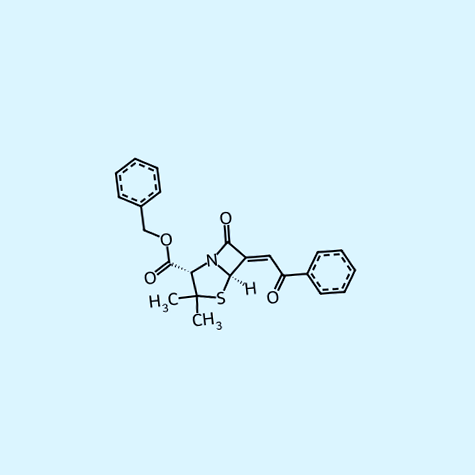 CC1(C)S[C@@H]2/C(=C\C(=O)c3ccccc3)C(=O)N2[C@H]1C(=O)OCc1ccccc1